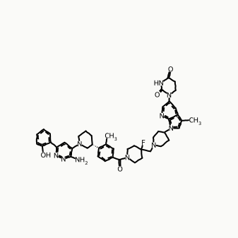 Cc1cc(C(=O)N2CCC(F)(CN3CCC(n4cc(C)c5cc(N6CCC(=O)NC6=O)cnc54)CC3)CC2)ccc1[C@H]1CCCN(c2cc(-c3ccccc3O)nnc2N)C1